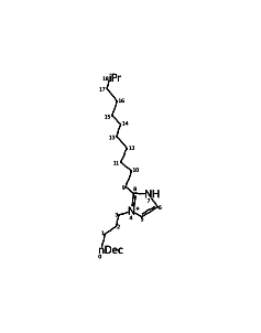 CCCCCCCCCCCCC[n+]1cc[nH]c1CCCCCCCCCC(C)C